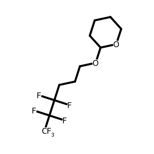 FC(F)(F)C(F)(F)C(F)(F)CCCOC1CCCCO1